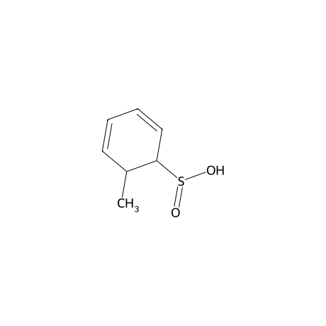 CC1C=CC=CC1S(=O)O